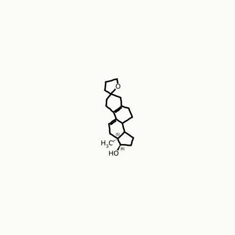 C[C@]12CC=C3C4=C(CCC3C1CC[C@H]2O)CC1(CCCO1)CC4